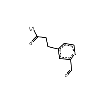 NC(=O)CCc1ccnc(C=O)c1